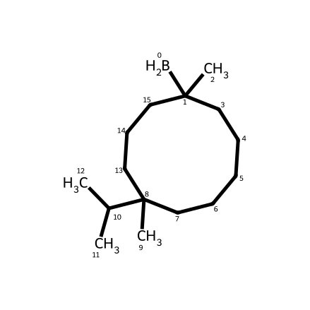 BC1(C)CCCCCC(C)(C(C)C)CCC1